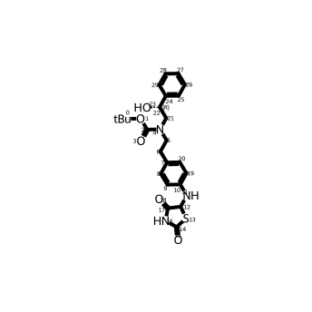 CC(C)(C)OC(=O)N(CCc1ccc(NC2SC(=O)NC2=O)cc1)C[C@H](O)c1ccccc1